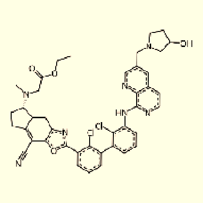 CCOC(=O)CN(C)[C@H]1CCC2=C(C#N)c3oc(-c4cccc(-c5cccc(Nc6nccc7cc(CN8CC[C@@H](O)C8)cnc67)c5Cl)c4Cl)nc3CC21